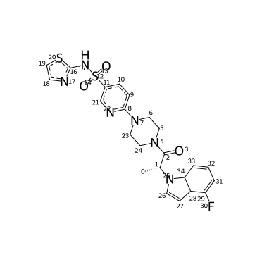 C[C@H](C(=O)N1CCN(c2ccc(S(=O)(=O)Nc3nccs3)cn2)CC1)N1C=CC2C(F)=CC=CC21